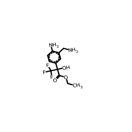 CCOC(=O)C(O)(c1ccc(N)c(CN)c1)C(F)(F)F